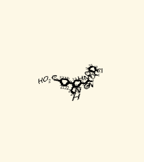 CC(OC(=O)Nc1cnoc1-c1ccc(-c2ccc(CC(=O)O)cc2)c2c1NCC2)c1ccccc1Cl